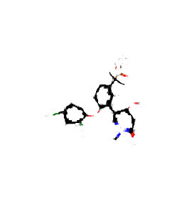 CCOc1cc(=O)n(C)cc1-c1cc(C(C)(C)S(=O)(=O)CC)ccc1Oc1ccc(F)cc1F